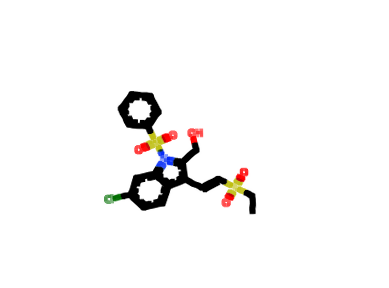 CCS(=O)(=O)/C=C/c1c(CO)n(S(=O)(=O)c2ccccc2)c2cc(Cl)ccc12